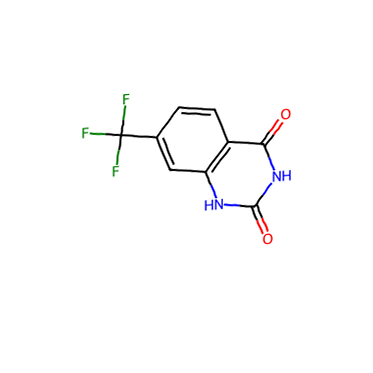 O=c1[nH]c(=O)c2ccc(C(F)(F)F)cc2[nH]1